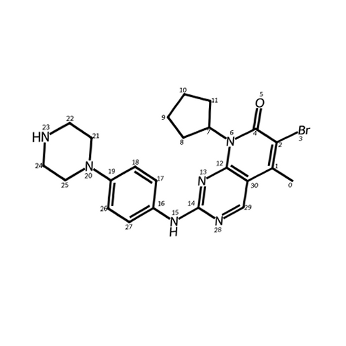 Cc1c(Br)c(=O)n(C2CCCC2)c2nc(Nc3ccc(N4CCNCC4)cc3)ncc12